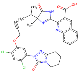 C#CCOc1cc(-n2nc3n(c2=O)CCCC3)c(Cl)cc1Cl.CC(C)C1(C)N=C(c2nc3ccccc3cc2C(=O)O)NC1=O